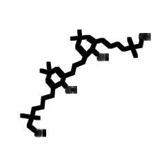 CC1(C)C=C(CCCCC(C)(C)CO)C(O)C(CCCC2=CC(C)(C)C=C(CCCCC(C)(C)CO)C2O)=C1